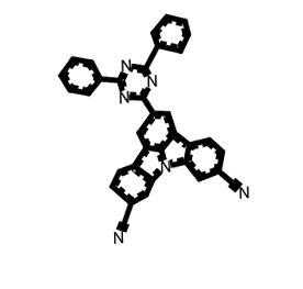 N#Cc1ccc2c3cc(-c4nc(-c5ccccc5)nc(-c5ccccc5)n4)cc4c5ccc(C#N)cc5n(c2c1)c34